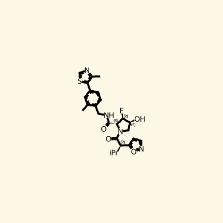 Cc1cc(-c2scnc2C)ccc1CNC(=O)[C@@H]1[C@@H](F)[C@@H](O)CN1C(=O)[C@@H](c1ccno1)C(C)C